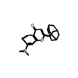 CN(C)c1ccc2c(=O)cc(C34CC5CC(CC(C5)C3)C4)oc2c1